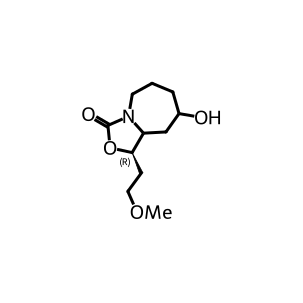 COCC[C@H]1OC(=O)N2CCCC(O)CC12